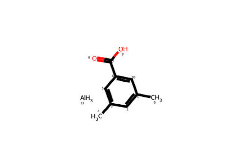 Cc1cc(C)cc(C(=O)O)c1.[AlH3]